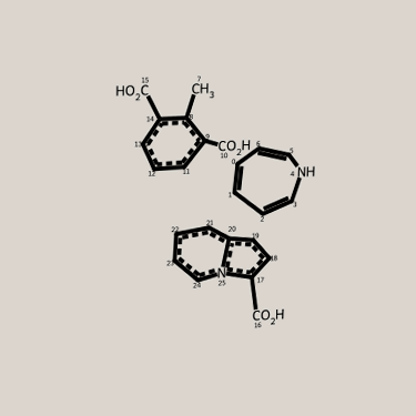 C1=CC=CNC=C1.Cc1c(C(=O)O)cccc1C(=O)O.O=C(O)c1ccc2ccccn12